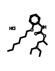 CCCCCCCOc1ccccc1NC(=O)OC(C)CN(CC)CC.Cl